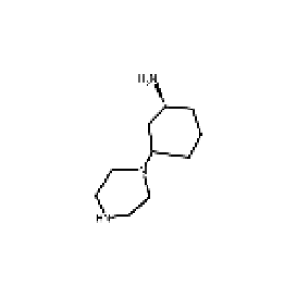 N[C@H]1CCCC(N2CCNCC2)C1